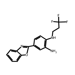 Nc1cc(-c2nc3ccccc3o2)ccc1NCCC(F)(F)F